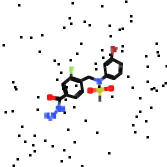 CS(=O)(=O)N(Cc1ccc(C(=O)NN)cc1F)c1cccc(Br)c1